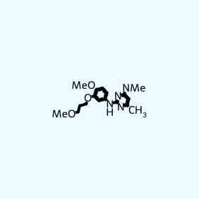 CNc1cc(C)nc(Nc2ccc(OC)c(OCCCOC)c2)n1